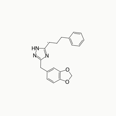 [CH](CCc1ccccc1)c1nc(Cc2ccc3c(c2)OCO3)n[nH]1